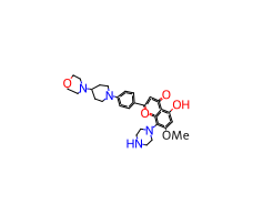 COc1cc(O)c2c(=O)cc(-c3ccc(N4CCC(N5CCOCC5)CC4)cc3)oc2c1N1CCNCC1